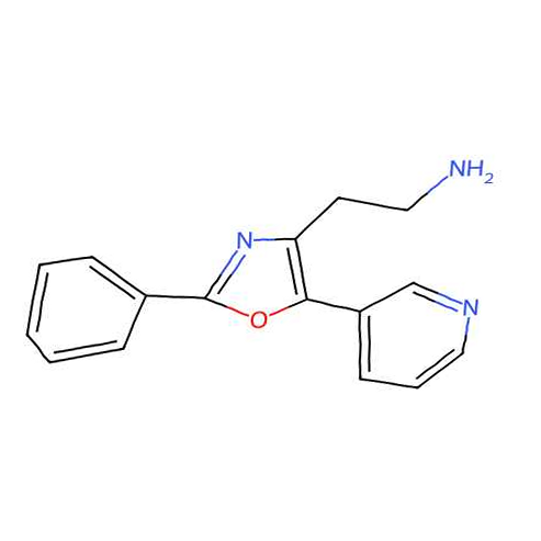 NCCc1nc(-c2ccccc2)oc1-c1cccnc1